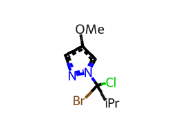 COc1cnn(C(Cl)(Br)C(C)C)c1